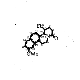 CCC1CCC(=O)N2CCc3c(ccc4ccc(OC)cc34)C12